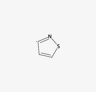 [c]1ccsn1